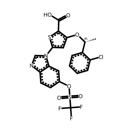 C[C@@H](Oc1cc(-n2cnc3ccc(OS(=O)(=O)C(F)(F)F)cc32)sc1C(=O)O)c1ccccc1Cl